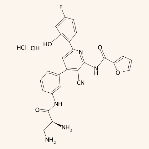 Cl.Cl.N#Cc1c(-c2cccc(NC(=O)[C@@H](N)CN)c2)cc(-c2ccc(F)cc2O)nc1NC(=O)c1ccco1